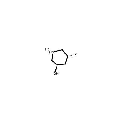 Cl.O[C@H]1CNC[C@H](F)C1